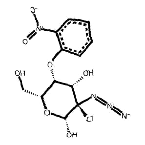 [N-]=[N+]=N[C@]1(Cl)[C@H](O)O[C@H](CO)[C@H](Oc2ccccc2[N+](=O)[O-])[C@@H]1O